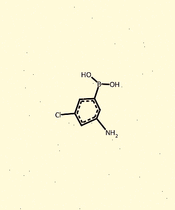 Nc1cc(Cl)cc(B(O)O)c1